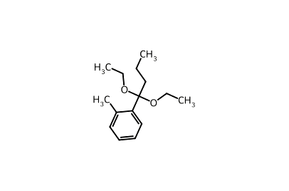 CCCC(OCC)(OCC)c1ccccc1C